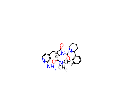 CN(C)C(=O)[C@@H]1[C@@H](Cc2ccnc(N)c2)C(=O)N1C(=O)N1CCCCC1c1ccccc1